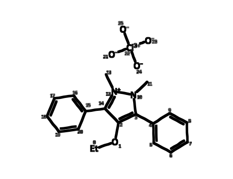 CCOc1c(-c2ccccc2)n(C)[n+](C)c1-c1ccccc1.[O-][Cl+3]([O-])([O-])[O-]